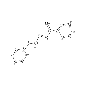 O=C(/C=C/NCc1ccccc1)c1ccccc1